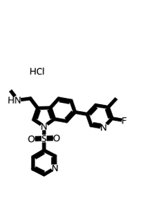 CNCc1cn(S(=O)(=O)c2cccnc2)c2cc(-c3cnc(F)c(C)c3)ccc12.Cl